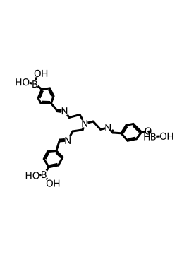 OBOc1ccc(C=NCCN(CCN=Cc2ccc(B(O)O)cc2)CCN=Cc2ccc(B(O)O)cc2)cc1